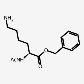 CC(=O)N[C@@H](CCCCN)C(=O)OCc1ccccc1